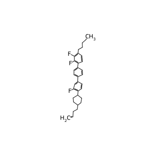 C=CCCC1CCC(c2ccc(-c3ccc(-c4ccc(CCCCC)c(F)c4F)cc3)cc2F)CC1